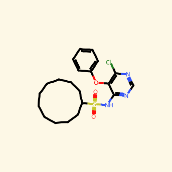 O=S(=O)(Nc1ncnc(Cl)c1Oc1ccccc1)C1CCCCCCCCCC1